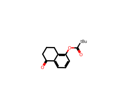 CC(C)(C)C(=O)Oc1cccc2c1CCCC2=O